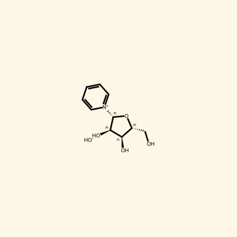 OC[C@H]1O[C@@H]([n+]2ccccc2)[C@H](O)[C@@H]1O.[OH-]